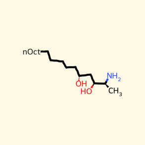 CCCCCCCCCCCCC[C@@H](O)C[C@H](O)[C@H](C)N